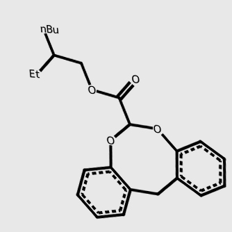 CCCCC(CC)COC(=O)C1Oc2ccccc2Cc2ccccc2O1